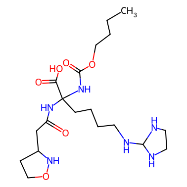 CCCCOC(=O)NC(CCCCNC1NCCN1)(NC(=O)CC1CCON1)C(=O)O